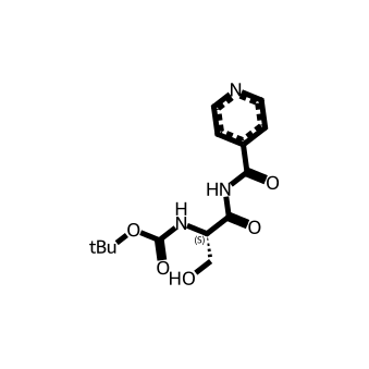 CC(C)(C)OC(=O)N[C@@H](CO)C(=O)NC(=O)c1ccncc1